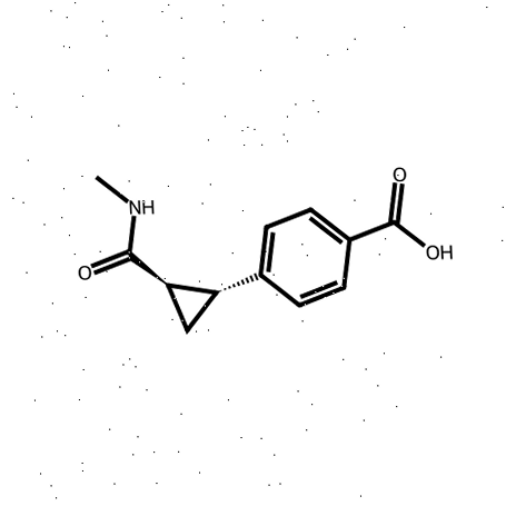 CNC(=O)[C@@H]1C[C@H]1c1ccc(C(=O)O)cc1